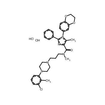 Cc1c(Cl)cccc1N1CCN(CCCN(C)C(=O)c2nc(-c3ccccc3)n(-c3ccc4c(c3)OCCO4)c2C)CC1.Cl.Cl